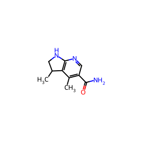 Cc1c(C(N)=O)cnc2c1C(C)CN2